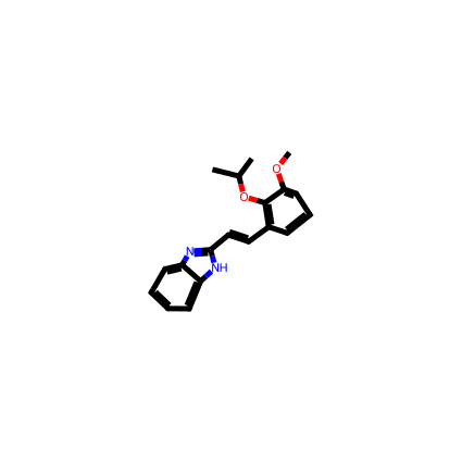 COc1cccc(C=Cc2nc3ccccc3[nH]2)c1OC(C)C